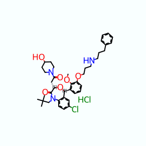 COc1c(OCCCNCCCc2ccccc2)cccc1[C@@H]1O[C@@H](CC(=O)N2CCC(O)CC2)C(=O)N(CC(C)(C)C)c2ccc(Cl)cc21.Cl